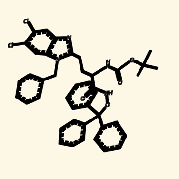 CC(C)(C)OC(=O)NC(CCc1nc2cc(Cl)c(Cl)cc2n1Cc1ccccc1)C(=O)NOC(c1ccccc1)(c1ccccc1)c1ccccc1